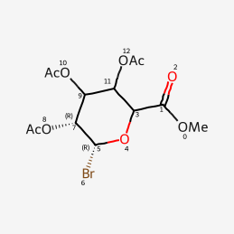 COC(=O)C1O[C@H](Br)[C@H](OC(C)=O)C(OC(C)=O)C1OC(C)=O